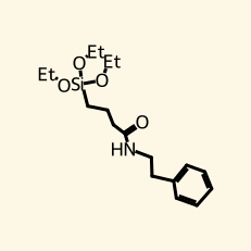 CCO[Si](CCCC(=O)NCCc1ccccc1)(OCC)OCC